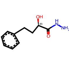 NNC(=O)[C@H](O)CCc1ccccc1